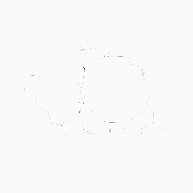 COc1cc2cc(c1Cl)N(C)C(=O)C[C@H](OC(=O)[C@H](C)N(C)C(=O)CCSC1CCOOC1)[C@]1(C)O[C@H]1[C@H](C)[C@@H]1C[C@@](O)(NC(=O)O1)[C@H](OC)/C=C/C=C(\C)C2